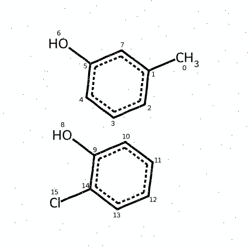 Cc1cccc(O)c1.Oc1ccccc1Cl